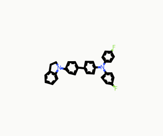 Fc1ccc(N(c2ccc(F)cc2)c2ccc(-c3ccc(N4CCc5ccccc54)cc3)cc2)cc1